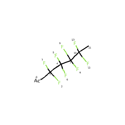 CC(=O)C(F)(F)C(F)(F)C(F)(F)C(C)(F)F